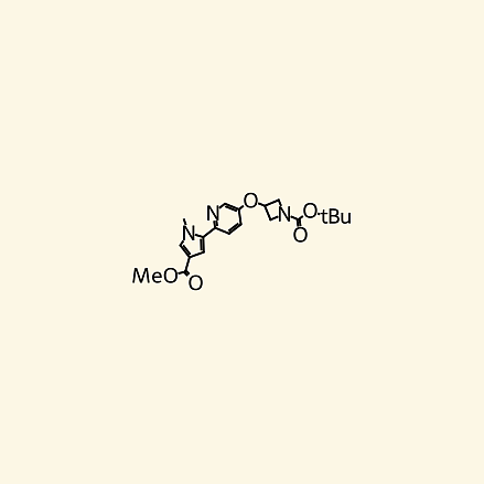 COC(=O)c1cc(-c2ccc(OC3CN(C(=O)OC(C)(C)C)C3)cn2)n(C)c1